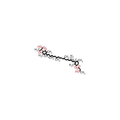 CC1=C(/C=C/C(C)=C/C=C/C(C)=C/C=C/C=C(C)/C=C/C=C(C)/C=C/C2=C(C)C(=O)[C@H](C(C(=O)O)[C@@H](C)O)CC2(C)C)C(C)(C)C[C@H](OC(=O)C[C@@H](C)O)C1=O